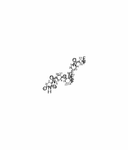 O=C1CCC(N2Cc3cc(O[C@@H]4CCCC(F)(F)[C@H]4N4CC(C5CCN(C(=O)C6CC(F)(F)C6)CC5)C4)ccc3C2=O)C(=O)N1